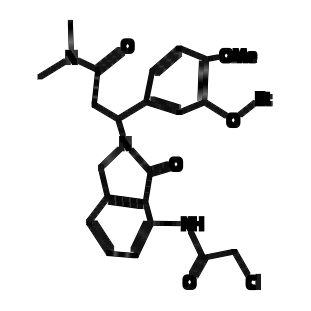 CCOc1cc(C(CC(=O)N(C)C)N2Cc3cccc(NC(=O)CCl)c3C2=O)ccc1OC